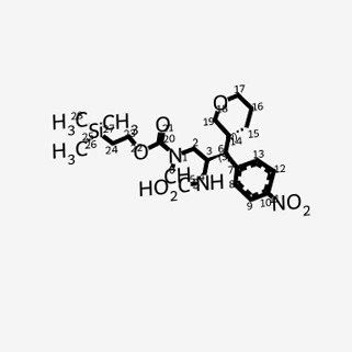 CN(CC(NC(=O)O)[C@H](c1ccc([N+](=O)[O-])cc1)[C@H]1CCCOC1)C(=O)OCC[Si](C)(C)C